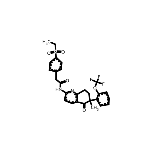 CCS(=O)(=O)c1ccc(CC(=O)Nc2ccc3c(n2)CCC(C)(c2ccccc2OC(F)(F)F)C3=O)cc1